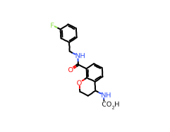 O=C(O)NC1CCOc2c(C(=O)NCc3cccc(F)c3)cccc21